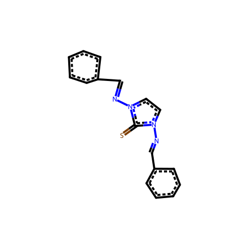 S=c1n(N=Cc2ccccc2)ccn1N=Cc1ccccc1